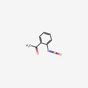 CC(=O)c1ccccc1N=C=O